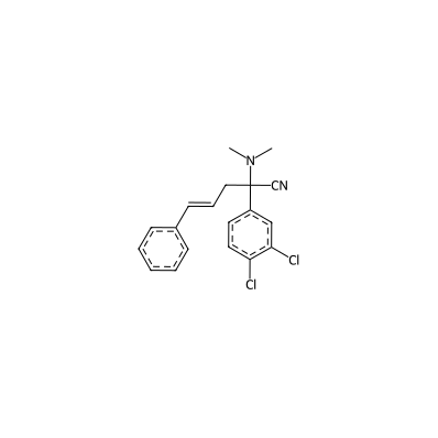 CN(C)C(C#N)(CC=Cc1ccccc1)c1ccc(Cl)c(Cl)c1